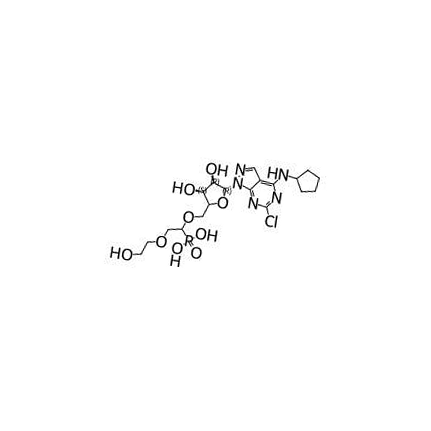 O=P(O)(O)C(COCCO)OCC1O[C@@H](n2ncc3c(NC4CCCC4)nc(Cl)nc32)[C@H](O)[C@@H]1O